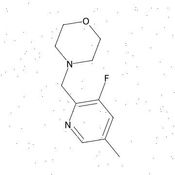 Cc1cnc(CN2CCOCC2)c(F)c1